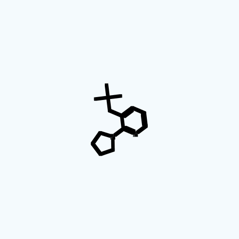 CC(C)(C)Cc1cccnc1N1CCCC1